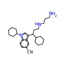 N#Cc1ccc2c(c1)c(C(CCNCCCN)C1CCCCC1)cn2C1CCCCC1